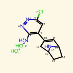 Cl.Cl.Nc1nnc(Cl)cc1C1=CC2CCC(C1)N2